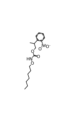 CCCCCCCONC(=O)OCC(C)c1ccccc1[N+](=O)[O-]